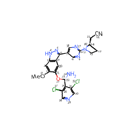 COc1cc2[nH]nc(-c3cnc(N4CC[C@@H]4CC#N)nc3)c2cc1O[C@H](N)c1c(Cl)cncc1Cl